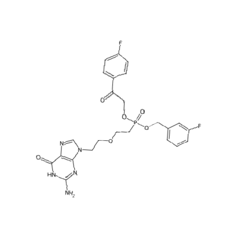 Nc1nc2c(ncn2CCOCCP(=O)(OCC(=O)c2ccc(F)cc2)OCc2cccc(F)c2)c(=O)[nH]1